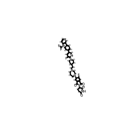 O=C1CCC(N2C(=O)c3cc(F)c(N4CCCN(CCC5CCN(c6ncc(-c7ccc8c9cnccc9n(C(F)F)c8c7)cc6F)CC5)CC4)cc3C2=O)C(=O)N1